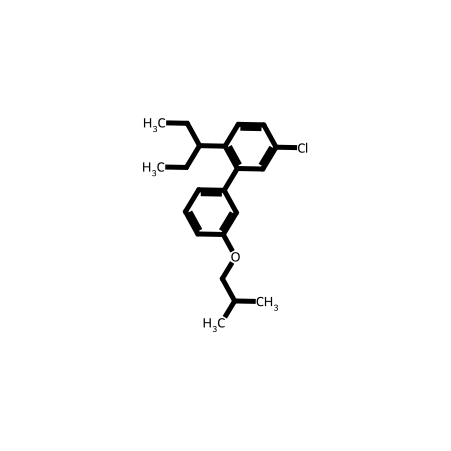 CCC(CC)c1ccc(Cl)cc1-c1cccc(OCC(C)C)c1